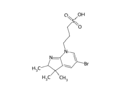 CC1N=C2C(=CC(Br)=CN2CCCS(=O)(=O)O)C1(C)C